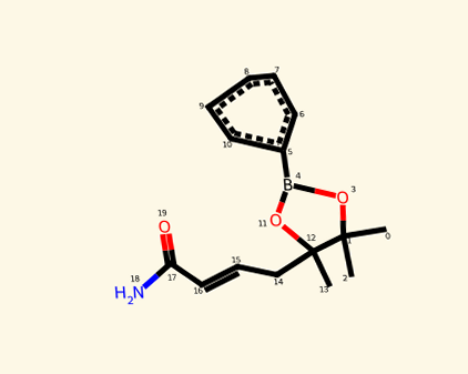 CC1(C)OB(c2ccccc2)OC1(C)CC=CC(N)=O